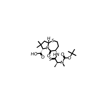 C[C@@H](C(=S)N[C@H]1CCS[C@H]2CC(C)(C)[C@@H](C(=O)O)N2C1=O)N(C)C(=O)OC(C)(C)C